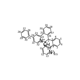 C=C1C(c2ccccc2-c2cccc[n+]2I)c2ccccc2-c2cc(-c3ccccc3)cc[n+]21